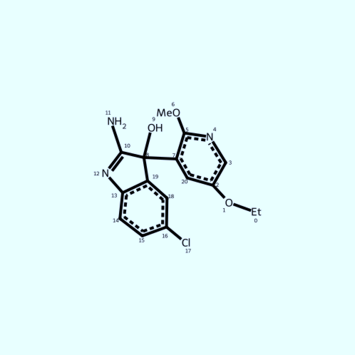 CCOc1cnc(OC)c(C2(O)C(N)=Nc3ccc(Cl)cc32)c1